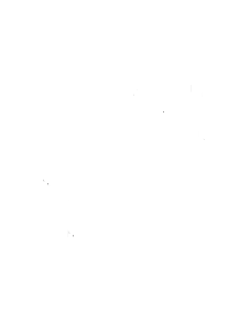 CC(C)(C)c1ccc2c(c1)CNC2=N